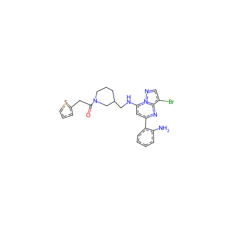 Nc1ccccc1-c1cc(NCC2CCCN(C(=O)Cc3cccs3)C2)n2ncc(Br)c2n1